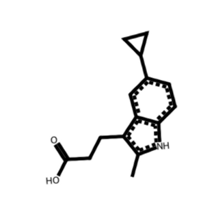 Cc1[nH]c2ccc(C3CC3)cc2c1CCC(=O)O